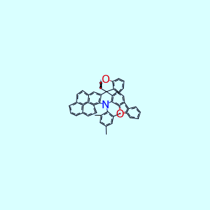 Cc1cc(C)c(N2c3c(cc4ccc5cccc6ccc3c4c56)C3(c4ccccc4Oc4ccccc43)c3ccc4c(oc5ccccc54)c32)c(C)c1